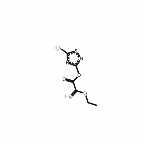 CCOC(=N)C(=O)Oc1nsc(N)n1